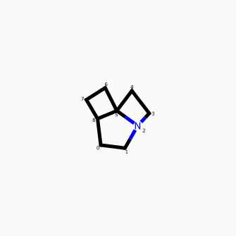 C1CN2CCC23CCC13